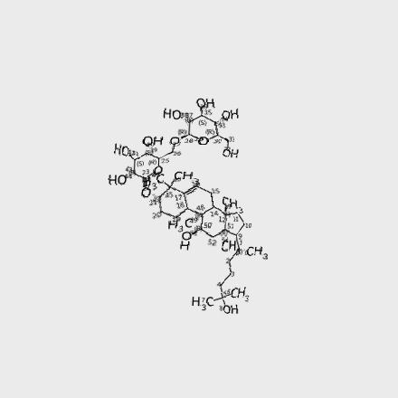 C[C@H](CCCC(C)(C)O)C1CC[C@@]2(C)C3CC=C4C(CC[C@H](O[C@@H]5O[C@H](CO[C@@H]6O[C@H](CO)[C@@H](O)[C@H](O)[C@H]6O)[C@@H](O)[C@H](O)[C@H]5O)C4(C)C)[C@]3(C)[C@H](O)C[C@]12C